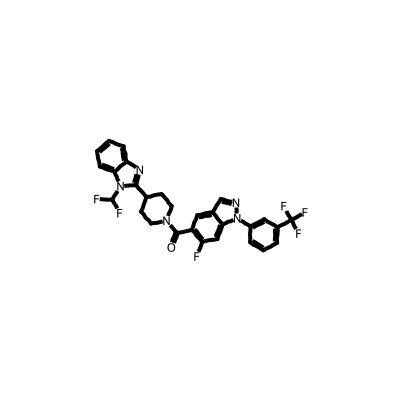 O=C(c1cc2cnn(-c3cccc(C(F)(F)F)c3)c2cc1F)N1CCC(c2nc3ccccc3n2C(F)F)CC1